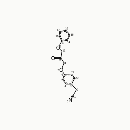 N#CCc1ccc(OCC(=O)COc2ccccc2)cc1